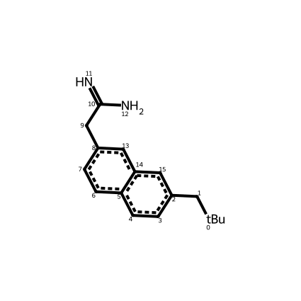 CC(C)(C)Cc1ccc2ccc(CC(=N)N)cc2c1